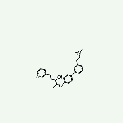 C[C@H](Oc1ccc(-c2cccc(CCN(C)C)c2)cc1)[C@H](O)CCc1cccnc1